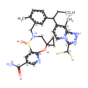 Cc1ccc(C(CC(=O)O)c2ccn3c(C(F)F)nnc3c2C)cc1CN1CC2(CC2)Oc2ncc(C(N)=O)cc2[S+]1[O-]